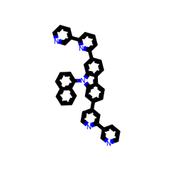 c1cncc(-c2cc(-c3ccc4c5ccc(-c6cccc(-c7cccnc7)n6)cc5n(-c5cccc6ccccc56)c4c3)ccn2)c1